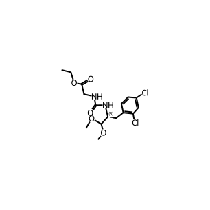 CCOC(=O)CNC(=O)N[C@@H](Cc1ccc(Cl)cc1Cl)C(OC)OC